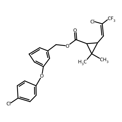 CC1(C)C(C=C(Cl)C(F)(F)F)C1C(=O)OCc1cccc(Oc2ccc(Cl)cc2)c1